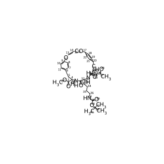 COC(=O)[C@@H]1Cc2ccc(cc2)O/C=C\COc2ccc(cc2)C[C@H](NC(C)=O)C(=O)N[C@H](CCCCNC(=O)OC(C)(C)C)C(=O)N1